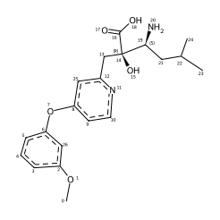 COc1cccc(Oc2ccnc(C[C@](O)(C(=O)O)[C@@H](N)CC(C)C)c2)c1